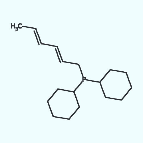 CC=CC=CCP(C1CCCCC1)C1CCCCC1